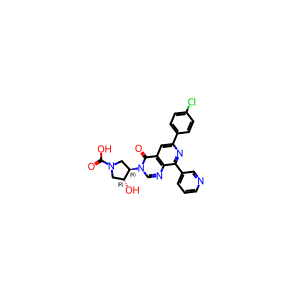 O=C(O)N1C[C@@H](O)[C@H](n2cnc3c(-c4cccnc4)nc(-c4ccc(Cl)cc4)cc3c2=O)C1